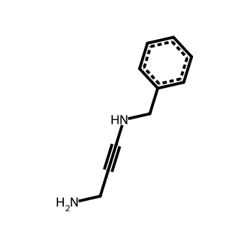 NCC#CNCc1ccccc1